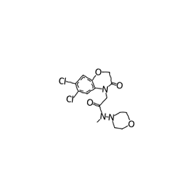 CN(C(=O)CN1C(=O)COc2cc(Cl)c(Cl)cc21)N1CCOCC1